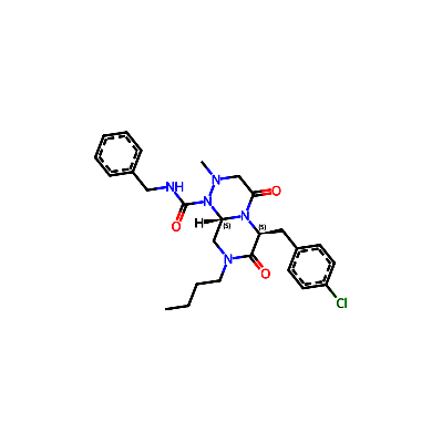 CCCCN1C[C@H]2N(C(=O)CN(C)N2C(=O)NCc2ccccc2)[C@@H](Cc2ccc(Cl)cc2)C1=O